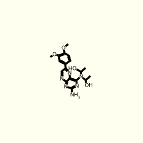 COc1ccc(-c2cnc3nc(N)nc(N(C(C)O)C(C)O)c3n2)cc1OC